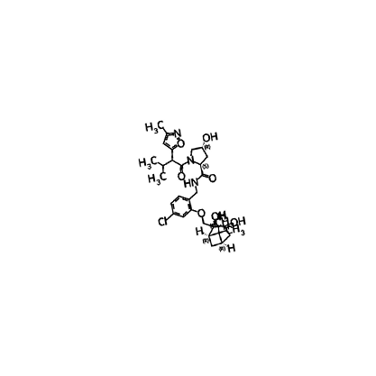 Cc1cc(C(C(=O)N2C[C@H](O)C[C@H]2C(=O)NCc2ccc(Cl)cc2OC[C@@]2(O)[C@@H]3C[C@H](C[C@@H]2O)C3(C)C)C(C)C)on1